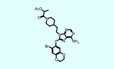 CC(=O)OC(C)C(=O)N1CCC(CCn2c(Sc3cc4c(cc3Br)OCCO4)nc3c(N)ncnc32)CC1